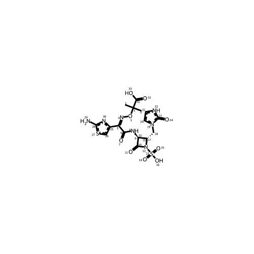 CC(C)(ON=C(C(=O)N[C@@H]1C(=O)N(S(=O)(=O)O)[C@H]1Cn1cc[nH]c1=O)c1csc(N)n1)C(=O)O